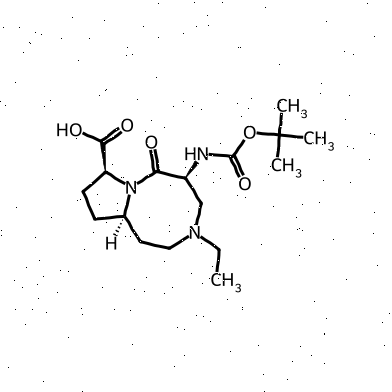 CCN1CC[C@H]2CC[C@@H](C(=O)O)N2C(=O)[C@@H](NC(=O)OC(C)(C)C)C1